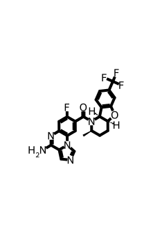 C[C@@H]1CC[C@@H]2Oc3cc(C(F)(F)F)ccc3[C@@H]2N1C(=O)c1cc2c(cc1F)nc(N)c1cncn12